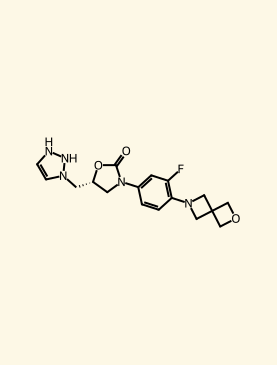 O=C1O[C@@H](CN2C=CNN2)CN1c1ccc(N2CC3(COC3)C2)c(F)c1